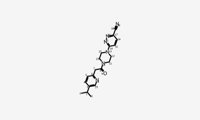 CC(C)c1ccc(CC(=O)N2CCN(c3ccc(C#N)nn3)CC2)nc1